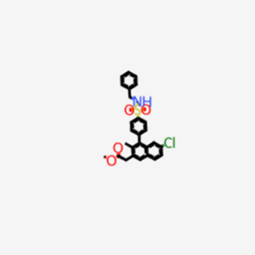 COC(=O)Cc1cc2ccc(Cl)cc2c(-c2ccc(S(=O)(=O)NCc3ccccc3)cc2)c1C